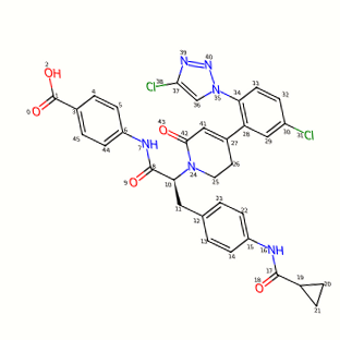 O=C(O)c1ccc(NC(=O)[C@H](Cc2ccc(NC(=O)C3CC3)cc2)N2CCC(c3cc(Cl)ccc3-n3cc(Cl)nn3)=CC2=O)cc1